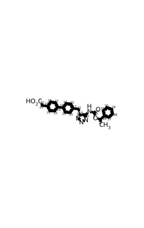 CC(OC(=O)Nc1nnnn1Cc1ccc(-c2ccc(CC(=O)O)cc2)cc1)c1ccccc1